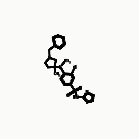 CN(c1ccc(S(=O)(=O)Nc2nccs2)cc1Cl)C1(C)CCN(Cc2ccccc2)C1